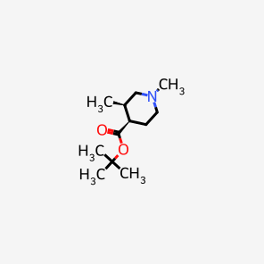 C[C@H]1CN(C)CC[C@H]1C(=O)OC(C)(C)C